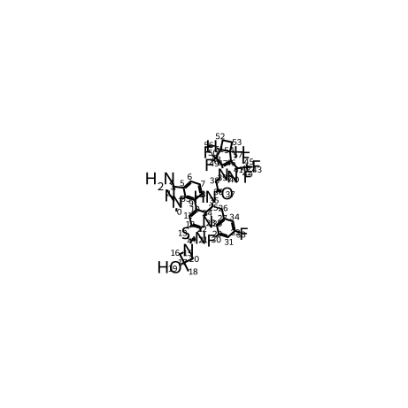 Cn1nc(N)c2cccc(-c3cc4sc(N5CC(C)(O)C5)nc4nc3[C@H](Cc3cc(F)cc(F)c3)NC(=O)Cn3nc(C(F)(F)F)c4c3C(F)(F)[C@@H]3CC[C@H]43)c21